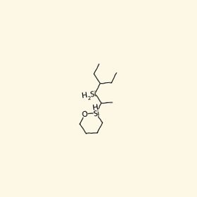 CCC(CC)[SiH2]C(C)[SiH]1CCCCO1